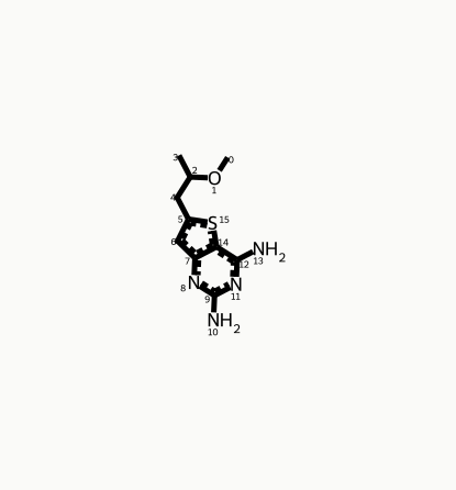 COC(C)Cc1cc2nc(N)nc(N)c2s1